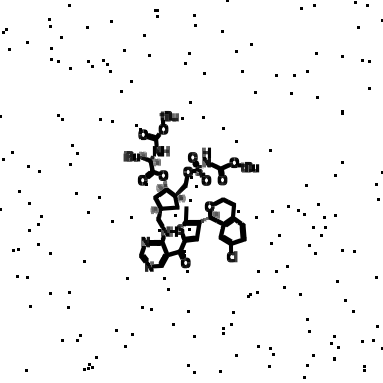 CC[C@H](C)[C@H](NC(=O)OC(C)(C)C)C(=O)O[C@H]1C[C@H](CNc2ncncc2C(=O)c2cc([C@@H]3OCCc4ccc(Cl)cc43)c(C)s2)C[C@@H]1COS(=O)(=O)NC(=O)OC(C)(C)C